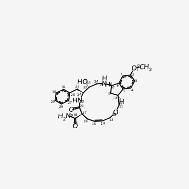 COc1ccc2c(c1)[C@@H]1C[C@@H]2COC/C=C\C[C@@H](C(N)=O)C(=O)N[C@@H](Cc2ccccc2)[C@H](O)CN1